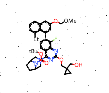 CCc1cccc2cc(OCOC)cc(-c3ccc4c(N5CC6CCC(C5)N6C(=O)OC(C)(C)C)nc(OCC5(CO)CC5)nc4c3F)c12